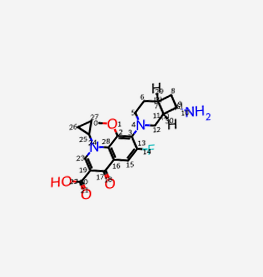 COc1c(N2CC[C@@H]3C[C@H](N)[C@@H]3C2)c(F)cc2c(=O)c(C(=O)O)cn(C3CC3)c12